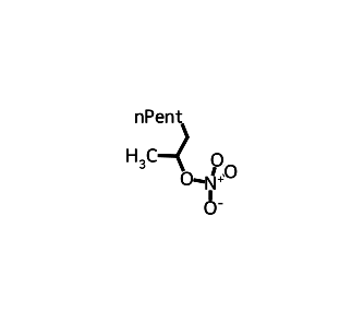 CCCCCCC(C)O[N+]1([O-])OO1